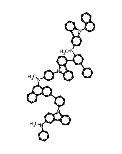 CN(c1ccccc1)c1ccc2c(c1)c1ccccc1n2-c1cccc(-c2ccc3c(N(C)c4ccc(-n5c6ccccc6c6c(-c7cc(-c8ccccc8)ccc7N(C)c7ccc8c(c7)c7ccccc7n8-c7cccc8ccccc78)cccc65)cc4)cc4ccccc4c3c2)c1